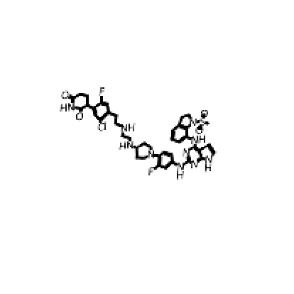 CS(=O)(=O)N1CCc2cccc(Nc3nc(Nc4ccc(N5CCC(NCCNCCc6cc(F)c(C7CCC(=O)NC7=O)cc6Cl)CC5)c(F)c4)nc4[nH]ccc34)c21